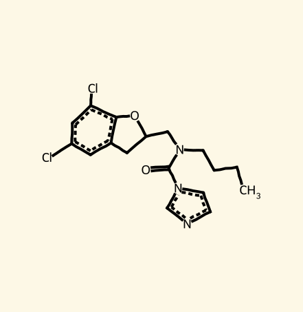 CCCCN(CC1Cc2cc(Cl)cc(Cl)c2O1)C(=O)n1ccnc1